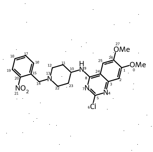 COc1cc2nc(Cl)nc(NC3CCN(Cc4ccccc4[N+](=O)[O-])CC3)c2cc1OC